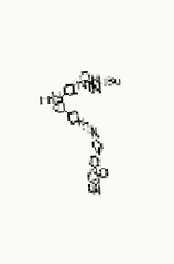 Cc1cc(-c2n[nH]c3ncc(-c4ccc(N5CC6(CN(CC7CCN(c8ccc(N9CCC(=O)NC9=O)cc8)CC7)C6)C5)cc4)cc23)ccc1C(C)NC(=O)c1nc(C(C)(C)C)no1